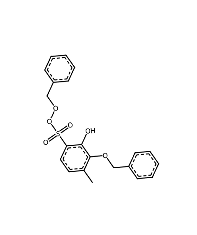 Cc1ccc(S(=O)(=O)OOCc2ccccc2)c(O)c1OCc1ccccc1